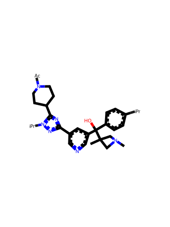 CC(=O)N1CCC(c2nc(-c3cncc(C(O)(c4ccc(C(C)C)cc4)C4(C)CN(C)C4)c3)nn2C(C)C)CC1